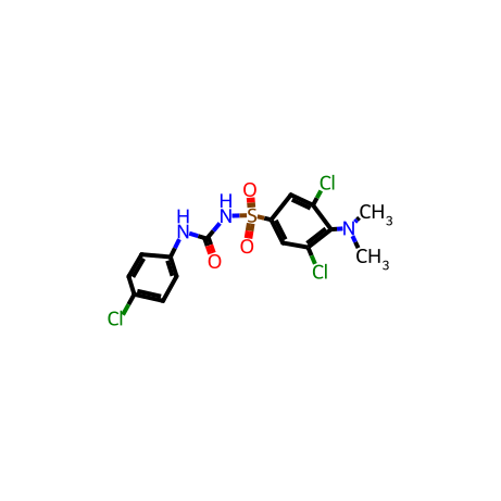 CN(C)c1c(Cl)cc(S(=O)(=O)NC(=O)Nc2ccc(Cl)cc2)cc1Cl